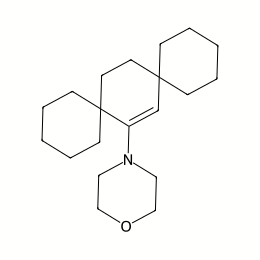 C1=C(N2CCOCC2)C2(CCCCC2)CCC12CCCCC2